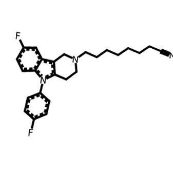 N#CCCCCCCCN1CCc2c(c3cc(F)ccc3n2-c2ccc(F)cc2)C1